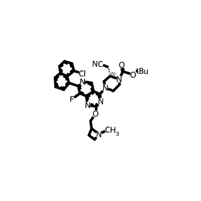 CN1CCC1COc1nc(N2CCN(C(=O)OC(C)(C)C)[C@@H](CC#N)C2)c2cnc(-c3cccc4cccc(Cl)c34)c(F)c2n1